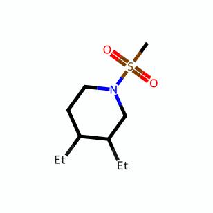 CCC1CCN(S(C)(=O)=O)CC1CC